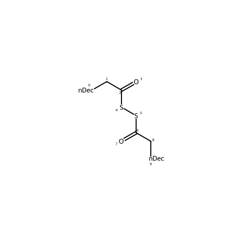 CCCCCCCCCCCC(=O)SSC(=O)CCCCCCCCCCC